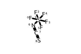 FS(F)(F)(F)(F)N=C=S